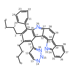 CCCCc1c(CCCC)c(-c2ccnnn2)c2c(c1-c1ccccc1)N=c1ccc3c(c1-2)N=c1ccccc1=3